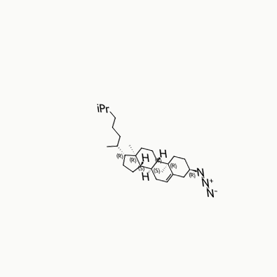 CC(C)CCCC(C)[C@H]1CC[C@H]2[C@@H]3CC=C4C[C@H](N=[N+]=[N-])CC[C@]4(C)[C@H]3CC[C@]12C